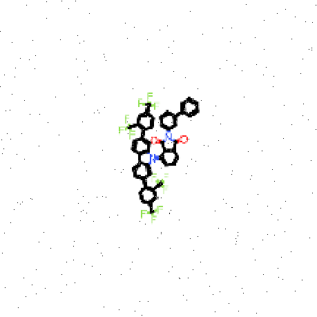 O=C1c2cccc(-n3c4cc(-c5ccc(C(F)(F)F)cc5C(F)(F)F)ccc4c4ccc(-c5ccc(C(F)(F)F)cc5C(F)(F)F)cc43)c2C(=O)N1c1cccc(-c2ccccc2)c1